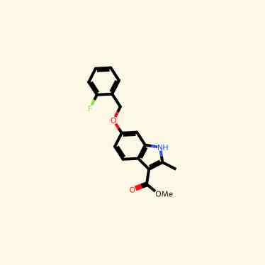 COC(=O)c1c(C)[nH]c2cc(OCc3ccccc3F)ccc12